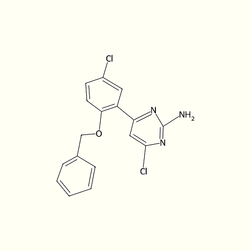 Nc1nc(Cl)cc(-c2cc(Cl)ccc2OCc2ccccc2)n1